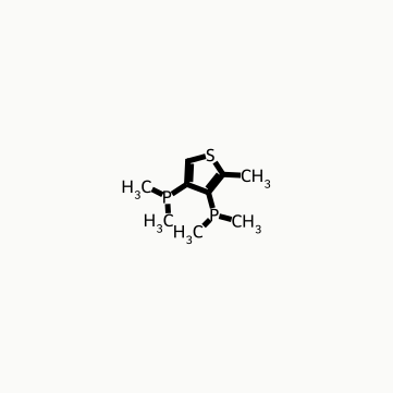 Cc1scc(P(C)C)c1P(C)C